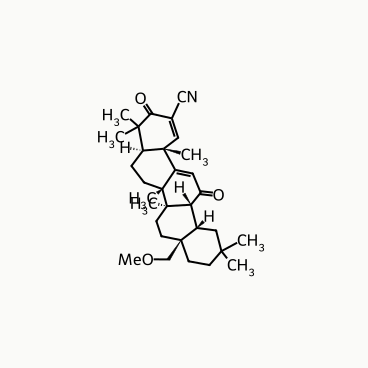 COC[C@]12CCC(C)(C)C[C@H]1[C@H]1C(=O)C=C3[C@@]4(C)C=C(C#N)C(=O)C(C)(C)[C@@H]4CC[C@@]3(C)[C@]1(C)CC2